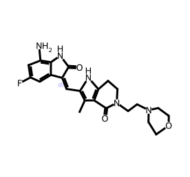 Cc1c(/C=C2\C(=O)Nc3c(N)cc(F)cc32)[nH]c2c1C(=O)N(CCN1CCOCC1)CC2